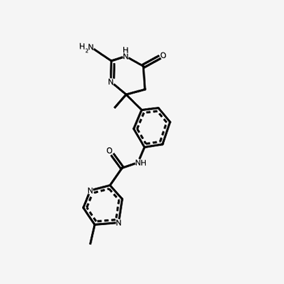 Cc1cnc(C(=O)Nc2cccc(C3(C)CC(=O)NC(N)=N3)c2)cn1